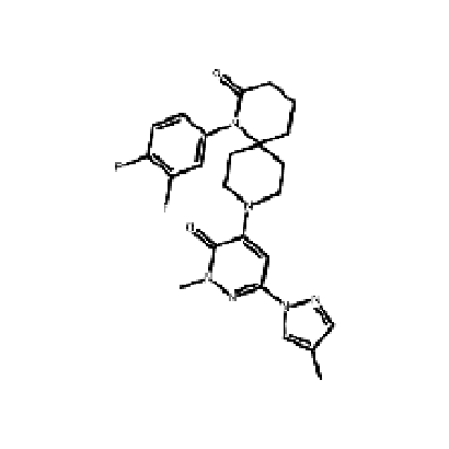 Cc1cnn(-c2cc(N3CCC4(CCCC(=O)N4c4ccc(F)c(F)c4)CC3)c(=O)n(C)n2)c1